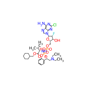 CCN(CC)CCc1ccccc1OP(=O)(N[C@H](C(=O)OCC1CCCCC1)C(C)C)OP(=O)(O)OC[C@H]1O[C@@H](n2cnc3c(N)nc(Cl)nc32)C(F)[C@H]1O